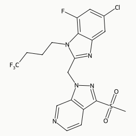 CS(=O)(=O)c1nn(Cc2nc3cc(Cl)cc(F)c3n2CCCC(F)(F)F)c2cnccc12